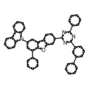 c1ccc(-c2cccc(-c3nc(-c4ccccc4)nc(-c4ccc5c(c4)oc4c(-c6ccccc6)cc(-n6c7ccccc7c7ccccc76)cc45)n3)c2)cc1